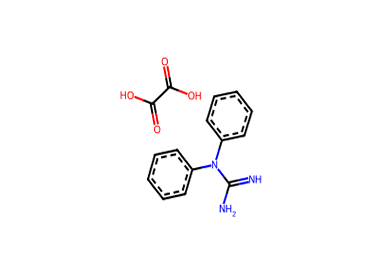 N=C(N)N(c1ccccc1)c1ccccc1.O=C(O)C(=O)O